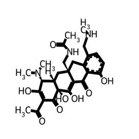 CNCc1ccc(O)c2c1C[C@@]1(CNC(C)=O)C[C@H]3[C@H](N(C)C)C(O)=C(C(C)=O)C(=O)[C@@]3(O)C(O)=C1C2=O